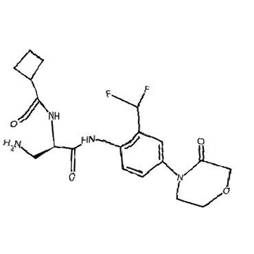 NC[C@@H](NC(=O)C1CCC1)C(=O)Nc1ccc(N2CCOCC2=O)cc1C(F)F